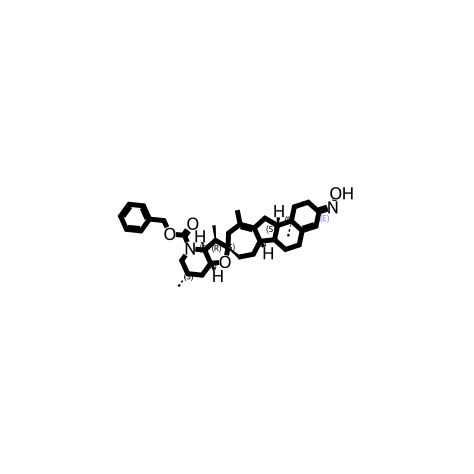 CC1=C2C[C@H]3C(CCC4=C/C(=N/O)CC[C@@]43C)[C@@H]2CC[C@@]2(C1)O[C@@H]1C[C@H](C)CN(C(=O)OCc3ccccc3)[C@H]1[C@H]2C